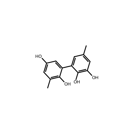 Cc1cc(O)c(O)c(-c2cc(O)cc(C)c2O)c1